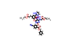 CCOC(=O)CCc1cc(Oc2nc(Oc3cc(C#N)ccc3C(=O)OCc3ccccc3)nc(NCC(=O)OCC)c2[N+](=O)[O-])cc(C2NC=CCN2)c1